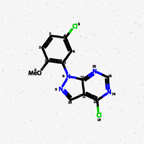 COc1ccc(Cl)cc1-n1ncc2c(Cl)ncnc21